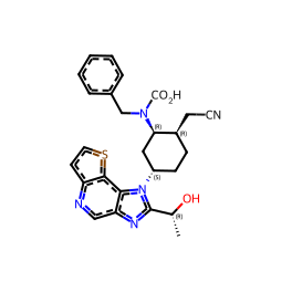 C[C@@H](O)c1nc2cnc3ccsc3c2n1[C@H]1CC[C@H](CC#N)[C@H](N(Cc2ccccc2)C(=O)O)C1